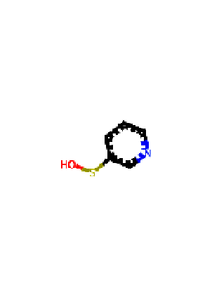 OSc1cccnc1